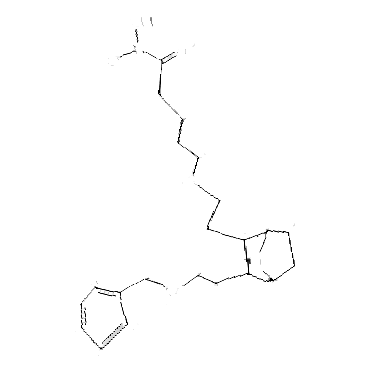 CN(O)C(=O)CCCCSCCC1C2CCC(O2)C1CCOCc1ccccc1